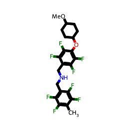 COC1CCC(Oc2c(F)c(F)c(CNCc3c(F)c(F)c(C)c(F)c3F)c(F)c2F)CC1